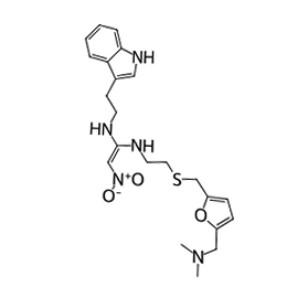 CN(C)Cc1ccc(CSCCNC(=C[N+](=O)[O-])NCCc2c[nH]c3ccccc23)o1